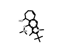 Cc1c(C(C)(C)C)n(C)c2cc3c(c(O[SiH](C)C)c12)C(O)CCC=C3